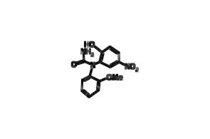 COc1ccccc1N(C(N)=O)c1cc([N+](=O)[O-])ccc1O